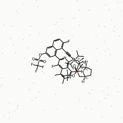 Cc1nc2c3c(nc(-c4cc(OS(=O)(=O)C(F)(F)F)cc5ccc(F)c(C#C[Si](C(C)C)(C(C)C)C(C)C)c45)c(F)c3c1C)O[C@@H](C)[C@@H]1[C@@H]3CC[C@H](CN21)N3C(=O)OC(C)(C)C